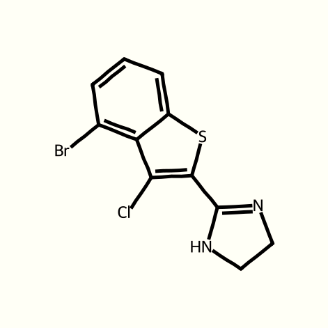 Clc1c(C2=NCCN2)sc2cccc(Br)c12